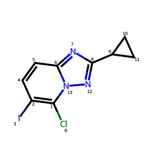 Clc1c(I)ccc2nc(C3CC3)nn12